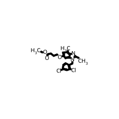 CCOC(=O)CCCOc1cc(C)c2nc(CC)n(Cc3ccc(Cl)cc3Cl)c2c1